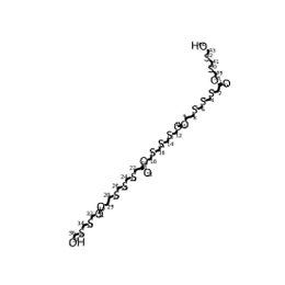 O=C(CSCSCSCCOOCSCSCSCOC(=O)CSCSCSCCOOCSCSCO)OCSCSCO